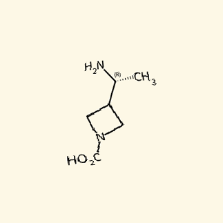 C[C@@H](N)C1CN(C(=O)O)C1